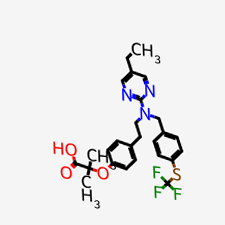 CCc1cnc(N(CCc2ccc(OC(C)(C)C(=O)O)cc2)Cc2ccc(SC(F)(F)F)cc2)nc1